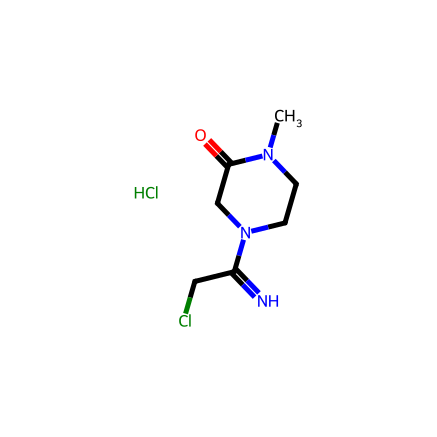 CN1CCN(C(=N)CCl)CC1=O.Cl